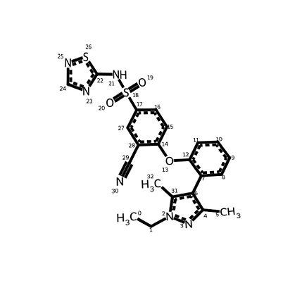 CCn1nc(C)c(-c2ccccc2Oc2ccc(S(=O)(=O)Nc3ncns3)cc2C#N)c1C